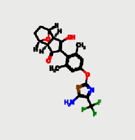 Cc1cc(Oc2nc(C(F)(F)F)c(N)s2)cc(C)c1C1=C(O)[C@H]2[C@@H](C1=O)[C@@H]1CC[C@H]2O1